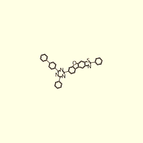 c1ccc(-c2ccc(-c3nc(-c4ccccc4)nc(-c4ccc5c(c4)oc4cc6sc(-c7ccccc7)nc6cc45)n3)cc2)cc1